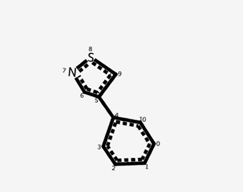 [c]1cccc(-c2cnsc2)c1